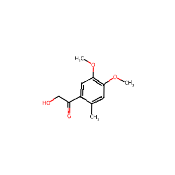 COc1cc(C)c(C(=O)CO)cc1OC